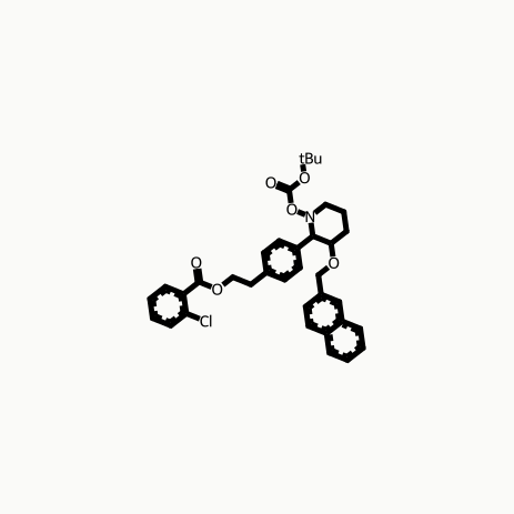 CC(C)(C)OC(=O)ON1CCCC(OCc2ccc3ccccc3c2)C1c1ccc(CCOC(=O)c2ccccc2Cl)cc1